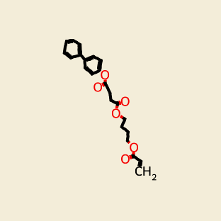 C=CC(=O)OCCCCOC(=O)CCC(=O)Oc1ccc(-c2ccccc2)cc1